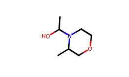 CC(O)N1CCOCC1C